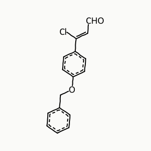 O=CC=C(Cl)c1ccc(OCc2ccccc2)cc1